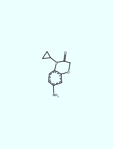 Nc1ccc2c(c1)OCC(=O)N2C1CC1